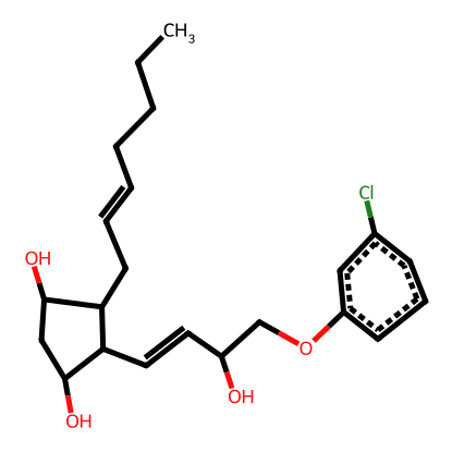 CCCCC=CCC1C(O)CC(O)C1C=CC(O)COc1cccc(Cl)c1